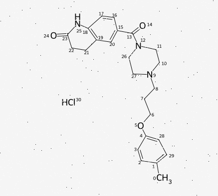 Cc1ccc(OCCCN2CCN(C(=O)c3ccc4c(c3)CCC(=O)N4)CC2)cc1.Cl